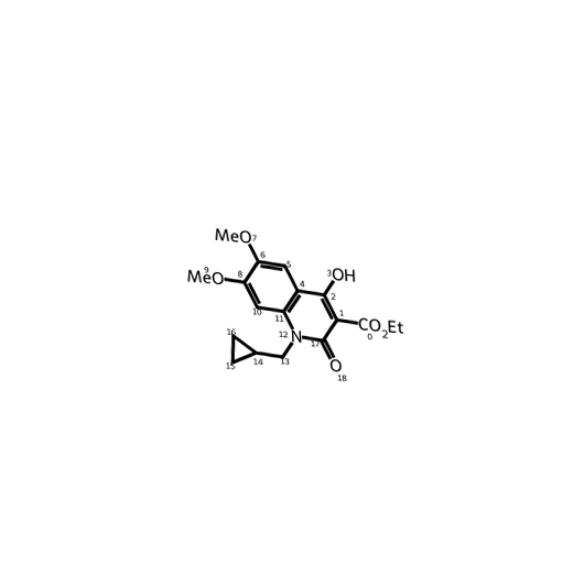 CCOC(=O)c1c(O)c2cc(OC)c(OC)cc2n(CC2CC2)c1=O